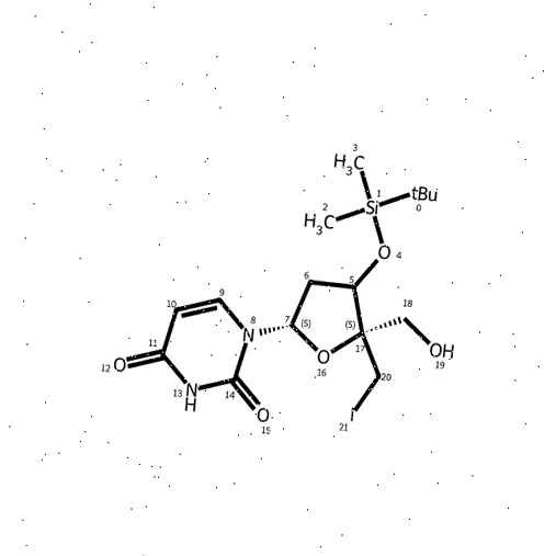 CC(C)(C)[Si](C)(C)OC1C[C@@H](n2ccc(=O)[nH]c2=O)O[C@]1(CO)CI